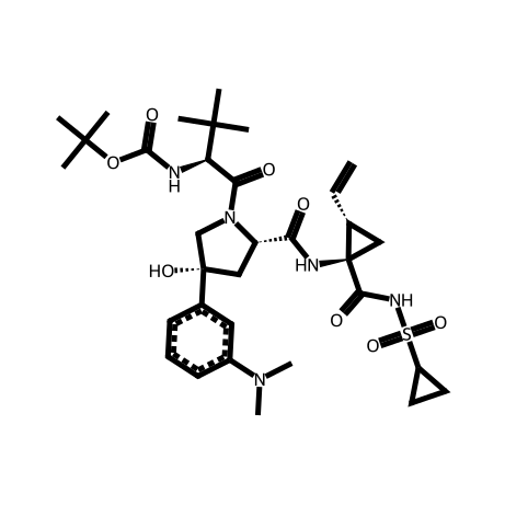 C=C[C@@H]1C[C@]1(NC(=O)[C@@H]1C[C@@](O)(c2cccc(N(C)C)c2)CN1C(=O)[C@@H](NC(=O)OC(C)(C)C)C(C)(C)C)C(=O)NS(=O)(=O)C1CC1